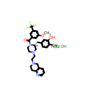 COc1cc(C(=O)N2CCN(CCN3CCc4ncccc4C3)C[C@H]2Cc2ccc(C)c(O)c2)cc(C(F)(F)F)c1.Cl.Cl.Cl